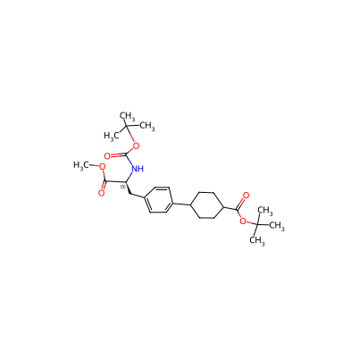 COC(=O)[C@H](Cc1ccc(C2CCC(C(=O)OC(C)(C)C)CC2)cc1)NC(=O)OC(C)(C)C